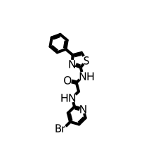 O=C(CNc1cc(Br)ccn1)Nc1nc(-c2ccccc2)cs1